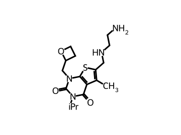 Cc1c(CNCCN)sc2c1c(=O)n(C(C)C)c(=O)n2CC1CCO1